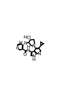 Cl.NC1CCCN(c2c(C3CC3)cnc3[nH]cc(NC(=O)c4cccnc4)c23)C1